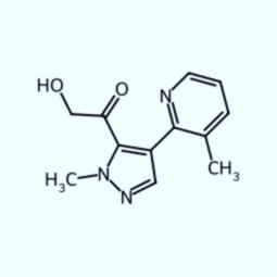 Cc1cccnc1-c1cnn(C)c1C(=O)CO